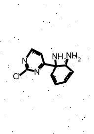 NC1C=CC=CC1(N)c1ccnc(Cl)n1